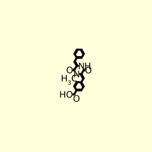 Cn1c(=O)c(=Cc2ccccc2)[nH]c(=O)c1=Cc1ccc(C(=O)O)cc1